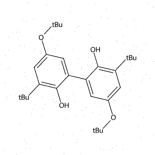 CC(C)(C)Oc1cc(-c2cc(OC(C)(C)C)cc(C(C)(C)C)c2O)c(O)c(C(C)(C)C)c1